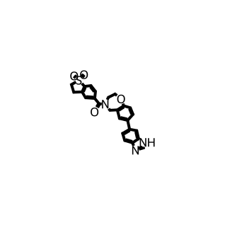 O=C(c1ccc2c(c1)CCS2(=O)=O)N1CCOc2ccc(-c3ccc4nc[nH]c4c3)cc2C1